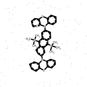 C[Si](C)(C)c1c2ccc(N3c4ccccc4Sc4ccccc43)cc2c([Si](C)(C)C)c2ccc(N3c4ccccc4Sc4ccccc43)cc12